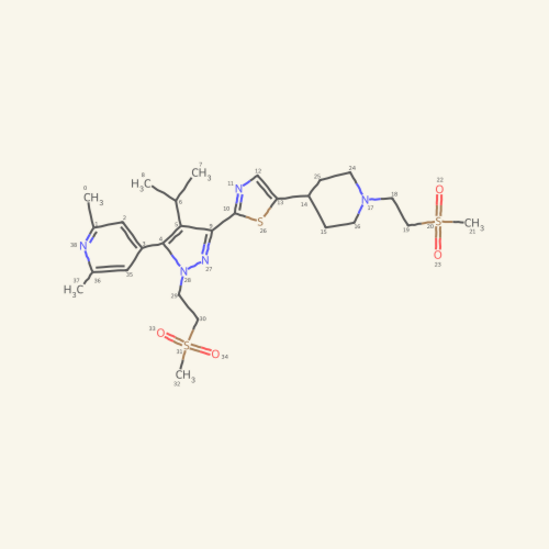 Cc1cc(-c2c(C(C)C)c(-c3ncc(C4CCN(CCS(C)(=O)=O)CC4)s3)nn2CCS(C)(=O)=O)cc(C)n1